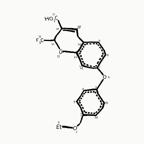 CCOc1ccc(Oc2ccc3c(c2)OC(C(F)(F)F)C(C(=O)O)=C3)cc1